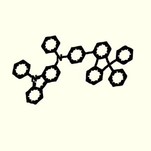 c1ccc(N(c2ccc(-c3cccc4c3-c3ccccc3C4(c3ccccc3)c3ccccc3)cc2)c2ccc3c4ccccc4n(-c4ccccc4)c3c2)cc1